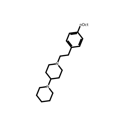 CCCCCCCCc1ccc(CCN2CCC(N3CCCCC3)CC2)cc1